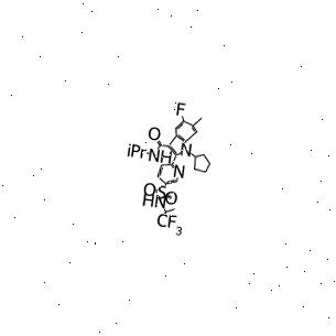 Cc1cc2c(cc1F)c(C(=O)NC(C)C)c(-c1ccc(S(=O)(=O)N[C@@H](C)C(F)(F)F)cn1)n2C1CCCC1